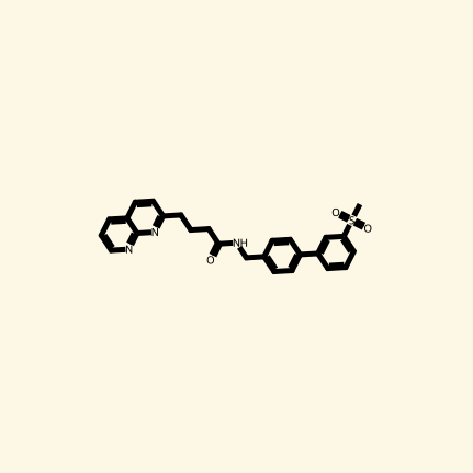 CS(=O)(=O)c1cccc(-c2ccc(CNC(=O)CCCc3ccc4cccnc4n3)cc2)c1